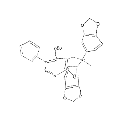 CCCCc1c(-c2ccccc2)nnc(Cl)c1C[N+](C)(c1ccc2c(c1)OCO2)c1ccc2c(c1)OCO2